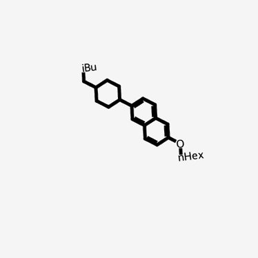 CCCCCCOc1ccc2cc(C3CCC(CC(C)CC)CC3)ccc2c1